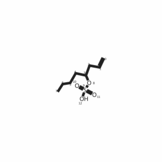 C=CCC(CCCC)OS(=O)(=O)O